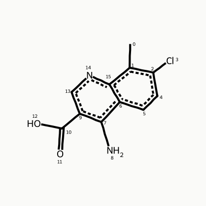 Cc1c(Cl)ccc2c(N)c(C(=O)O)cnc12